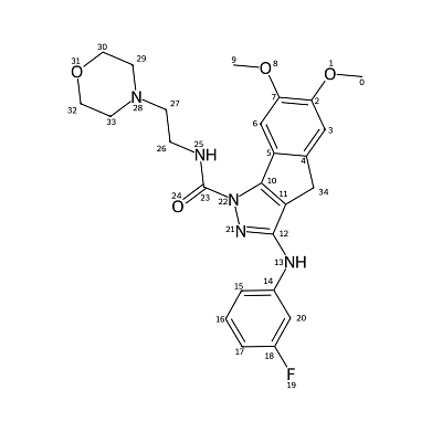 COc1cc2c(cc1OC)-c1c(c(Nc3cccc(F)c3)nn1C(=O)NCCN1CCOCC1)C2